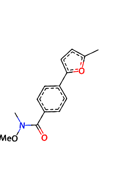 CON(C)C(=O)c1ccc(-c2ccc(C)o2)cc1